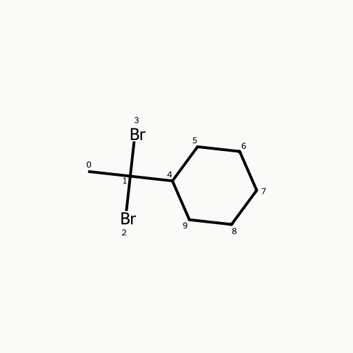 CC(Br)(Br)C1CCCCC1